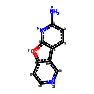 Nc1ccc2c(n1)oc1ccncc12